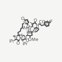 CC[C@H](C)C(C(CC(=O)N1CCC[C@H]1C(OC)[C@@H](C)C(=O)NC(Cc1ccc(F)cc1)C(=O)O)OC)N(C)C(=O)[C@@H](NC(=O)C(C(C)C)N(C)C(=O)CCCCCN1C(=O)C=CC1=O)C(C)C